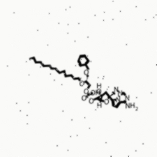 CCCCCCCCCCCCCCO[C@H](COCc1ccccc1)COP(=O)(O)OC1[C@H]2O[C@@](C#N)(c3ccc4c(N)ncnn34)C[C@@]12O